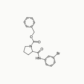 O=C(Nc1cccc(Br)c1)C1CCCN1C(=O)OCc1ccccc1